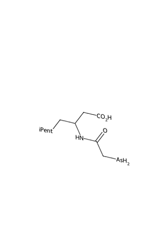 CCCC(C)CC(CC(=O)O)NC(=O)C[AsH2]